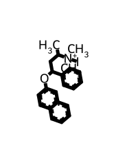 CC(CC(Oc1ccc2ccccc2c1)c1ccccc1)[N+](C)(C)I